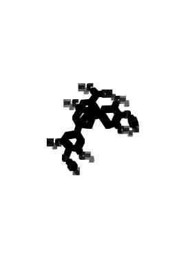 Cc1cc(C23CC4(C)CC(c5cc(C)c(OC#N)c(C)c5)(C2)CC(C(C)C)(C4)C3)cc(C)c1OC#N